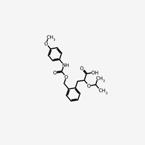 COc1ccc(NC(=O)OCc2ccccc2CC(OC(C)C)C(=O)O)cc1